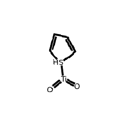 [O]=[Ti](=[O])[SH]1C=CC=C1